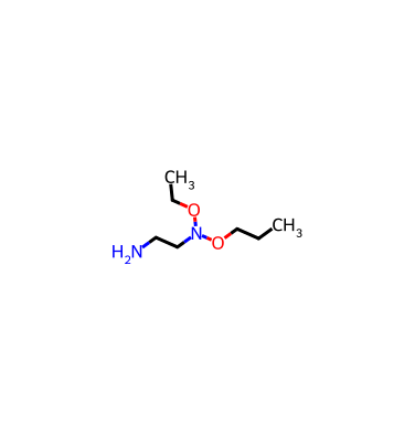 CCCON(CCN)OCC